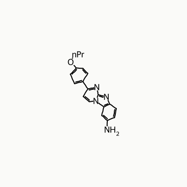 CCCOc1ccc(-c2ccn3c(n2)nc2ccc(N)cc23)cc1